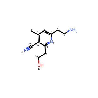 Cc1cc(CCN)nc(CCO)c1C#N